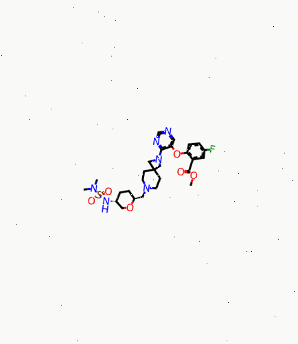 COC(=O)c1cc(F)ccc1Oc1cncnc1N1CC2(CCN(C[C@@H]3CC[C@@H](NS(=O)(=O)N(C)C)CO3)CC2)C1